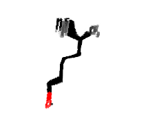 CC(CCCC[O])C(F)(F)F